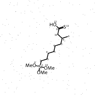 CO[Si](CCCCCCC(C)CC(O)=S)(OC)OC